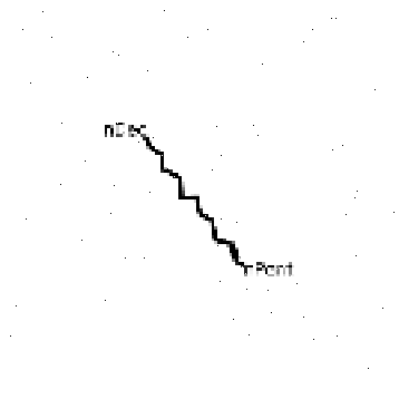 CCCCC/C=C/CCCCCCCCCCCCCCCCCCC